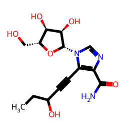 CCC(O)C#Cc1c(C(N)=O)ncn1[C@@H]1O[C@H](CO)[C@@H](O)[C@H]1O